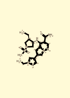 CC[C@@H]1CN(S(C)(=O)=O)C[C@H]1Nc1c(C(N)=O)cnn2cc(-c3cnn(CC)c3)cc12